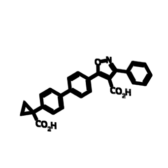 O=C(O)c1c(-c2ccccc2)noc1-c1ccc(-c2ccc(C3(C(=O)O)CC3)cc2)cc1